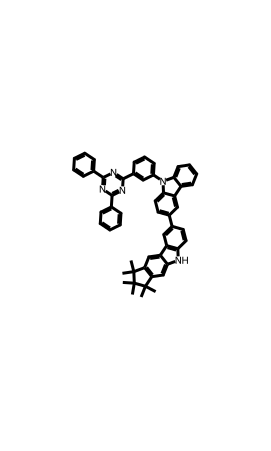 CC1(C)c2cc3[nH]c4ccc(-c5ccc6c(c5)c5ccccc5n6-c5cccc(-c6nc(-c7ccccc7)nc(-c7ccccc7)n6)c5)cc4c3cc2C(C)(C)C1(C)C